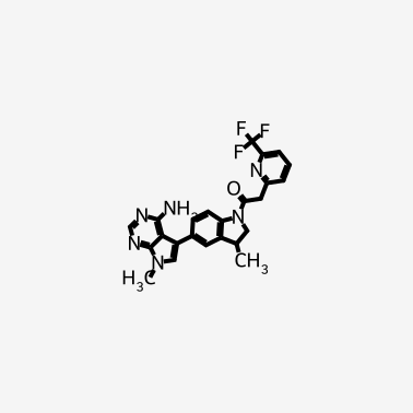 CC1CN(C(=O)Cc2cccc(C(F)(F)F)n2)c2ccc(-c3cn(C)c4ncnc(N)c34)cc21